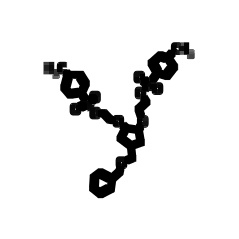 Cc1ccc(S(=O)(=O)OCCOC2CC(COCc3ccccc3)CC2OCCOS(=O)(=O)c2ccc(C)cc2)cc1